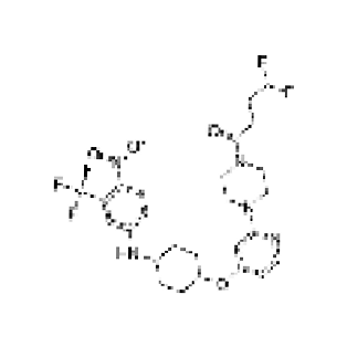 O=C(CCC(F)F)N1CCN(c2cc(OC3CCC(Nc4ccc([N+](=O)[O-])c(C(F)(F)F)c4)CC3)ccn2)CC1